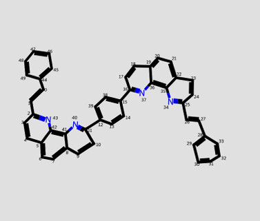 C(=Cc1ccc2ccc3ccc(-c4ccc(-c5ccc6ccc7ccc(/C=C/c8ccccc8)nc7c6n5)cc4)nc3c2n1)c1ccccc1